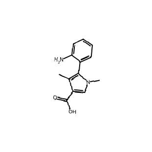 Cc1c(C(=O)O)cn(C)c1-c1ccccc1N